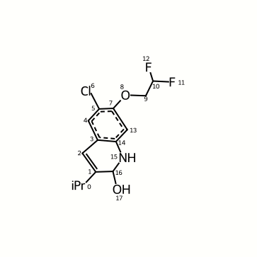 CC(C)C1=Cc2cc(Cl)c(OCC(F)F)cc2NC1O